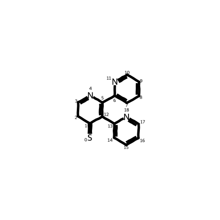 S=C1CC=NC(c2ccccn2)=C1c1ccccn1